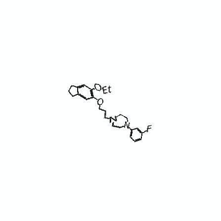 CCOc1cc2c(cc1OCCCN1CCN(c3cccc(F)c3)CC1)CCC2